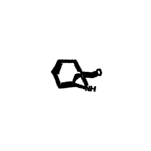 O=I12CC=CC=C1N2